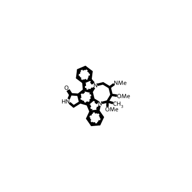 CNC1Cn2c3ccccc3c3c4c(c5c6ccccc6n(c5c32)C(C)(OC)C1OC)CNC4=O